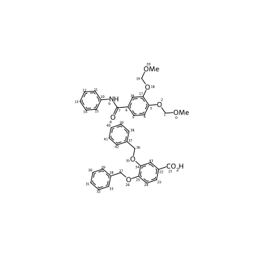 COCOc1ccc(C(=O)Nc2ccccc2)cc1OCOC.O=C(O)c1ccc(OCc2ccccc2)c(OCc2ccccc2)c1